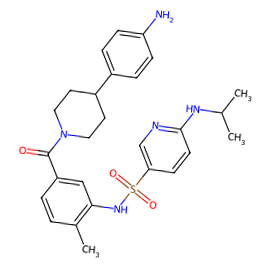 Cc1ccc(C(=O)N2CCC(c3ccc(N)cc3)CC2)cc1NS(=O)(=O)c1ccc(NC(C)C)nc1